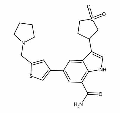 NC(=O)c1cc(-c2csc(CN3CCCC3)c2)cc2c(C3CCS(=O)(=O)C3)c[nH]c12